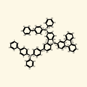 c1ccc(-c2ccc(N(c3ccccc3)c3ccc(-c4ccc5c(c4)c4cc(N(c6ccccc6)c6ccc(-c7ccccc7)cc6)ccc4n5-c4ccc5c6ccccc6c6ccccc6c5c4)cc3)cc2)cc1